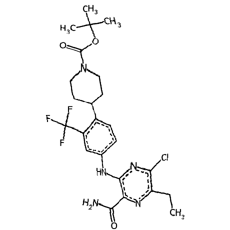 CCc1nc(C(N)=O)c(Nc2ccc(C3CCN(C(=O)OC(C)(C)C)CC3)c(C(F)(F)F)c2)nc1Cl